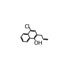 C=CCc1cc(Cl)c2ccccc2c1O